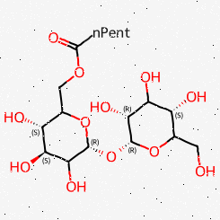 CCCCCC(=O)OCC1O[C@H](O[C@H]2OC(CO)[C@@H](O)C(O)[C@H]2O)C(O)[C@@H](O)[C@@H]1O